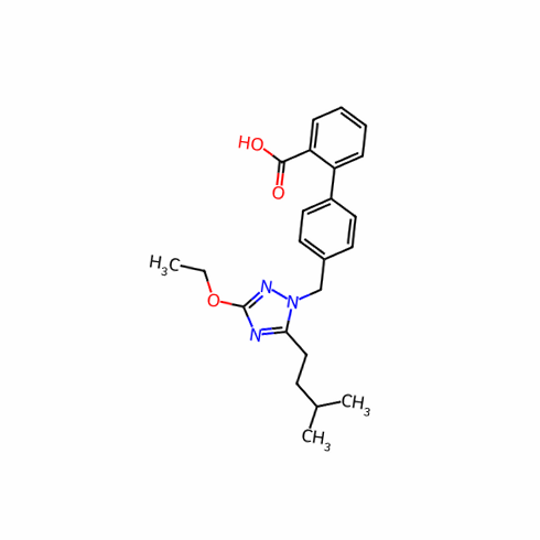 CCOc1nc(CCC(C)C)n(Cc2ccc(-c3ccccc3C(=O)O)cc2)n1